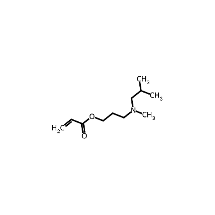 C=CC(=O)OCCCN(C)CC(C)C